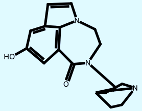 O=C1c2cc(O)cc3ccn(c23)CCN1C1CN2CCC1CC2